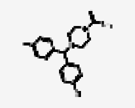 C=C(N1CCN(C(c2ccc(C)cc2)c2ccc(Cl)cc2)CC1)C(F)(F)F